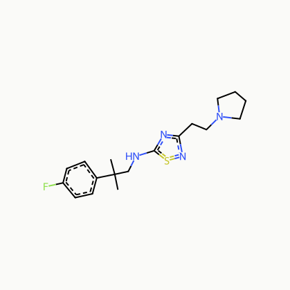 CC(C)(CNc1nc(CCN2CCCC2)ns1)c1ccc(F)cc1